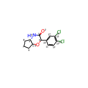 NC(=O)C(OC1CCCC1)c1ccc(Cl)c(Cl)c1